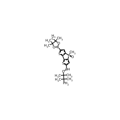 CC(C)(P)C(C)(C)OBc1cc2c(s1)-c1sc(B3OC(C)(C)C(C)(C)O3)cc1P2(C)=O